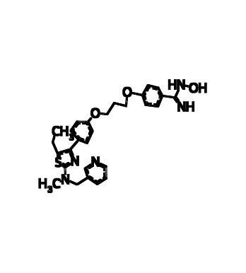 CCc1sc(N(C)Cc2cccnc2)nc1-c1ccc(OCCCOc2ccc(C(=N)NO)cc2)cc1